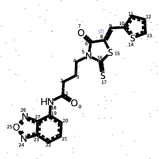 O=C(CCCN1C(=O)/C(=C/c2cccs2)SC1=S)Nc1cccc2nonc12